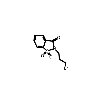 O=C1c2ccccc2S(=O)(=O)N1CCCBr